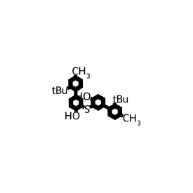 Cc1ccc(-c2ccc(O)c(Sc3cc(-c4ccc(C)cc4C(C)(C)C)ccc3O)c2)c(C(C)(C)C)c1